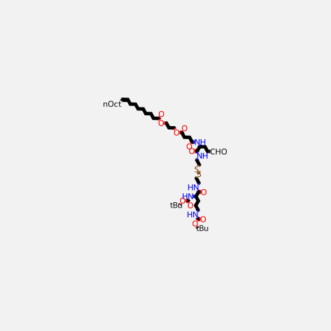 CCCCCCCC/C=C\CCCCCCCC(=O)OCCCOC(=O)CCC(=O)NC(CCC=O)C(=O)NCCSSCCNC(=O)C(CCCNC(=O)OC(C)(C)C)NC(=O)OC(C)(C)C